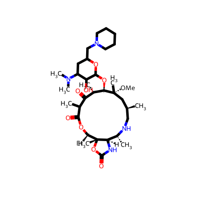 CC[C@H]1OC(=O)C(C)C(=O)[C@H](C)[C@@H](OC2OC(CN3CCCCC3)CC(N(C)C)C2O)[C@](C)(OC)C[C@@H](C)CN[C@H](C)[C@H]2NC(=O)O[C@@]21C